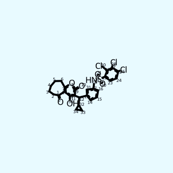 O=C1CCCCCc2oc(=O)c(C(c3cccc(NS(=O)(=O)c4ccc(Cl)c(Cl)c4Cl)c3)C3CC3)c(O)c21